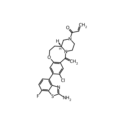 C=CC(=O)N1CCN2C(=C)c3cc(Cl)c(-c4ccc(F)c5sc(N)nc45)cc3OCC[C@@H]2C1